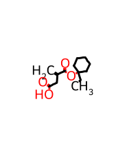 C=C(CC(=O)O)C(=O)OC1(CC)CCCCC1